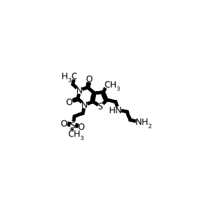 CCn1c(=O)c2c(C)c(CNCCN)sc2n(CCS(C)(=O)=O)c1=O